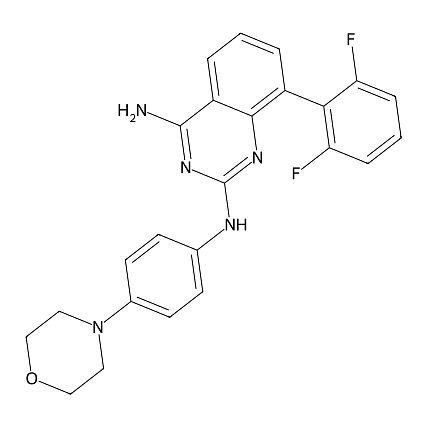 Nc1nc(Nc2ccc(N3CCOCC3)cc2)nc2c(-c3c(F)cccc3F)cccc12